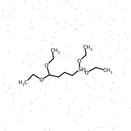 CCOC(CCC[SiH](OCC)OCC)OCC